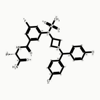 CC(C)[C@H](NC(=O)c1cc(F)cc(N(C2CN(C(c3ccc(Cl)cc3)c3ccc(Cl)cc3)C2)S(C)(=O)=O)c1)C(N)=O